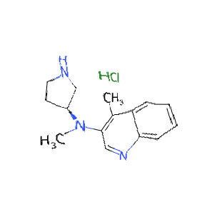 Cc1c(N(C)[C@H]2CCNC2)cnc2ccccc12.Cl